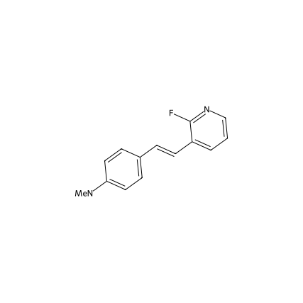 CNc1ccc(/C=C/c2cccnc2F)cc1